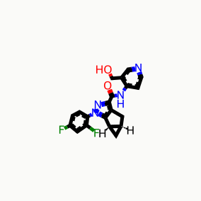 O=C(Nc1ccncc1CO)c1nn(-c2ccc(F)cc2F)c2c1C[C@H]1C[C@@H]21